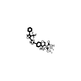 CC(C)(C)N(C(=O)O)[C@H]1COc2cc(-c3noc(-c4onc(-c5ccccc5)c4C(F)(F)F)n3)ccc2[C@H]1O